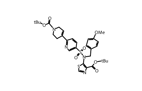 COc1ccc(CN(c2scnc2C(=O)OC(C)(C)C)S(=O)(=O)c2ccc(C3=CCN(C(=O)OC(C)(C)C)CC3)nc2)cc1